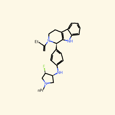 C=C(CC)N1CCc2c([nH]c3ccccc23)[C@H]1c1ccc(N[C@H]2CN(CCC)C[C@H]2F)cc1